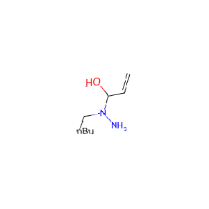 C=CC(O)N(N)CCCCC